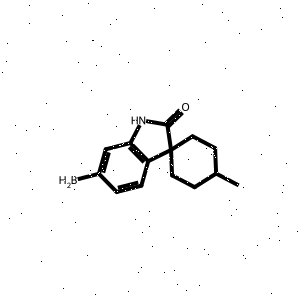 Bc1ccc2c(c1)NC(=O)C21CCC(C)CC1